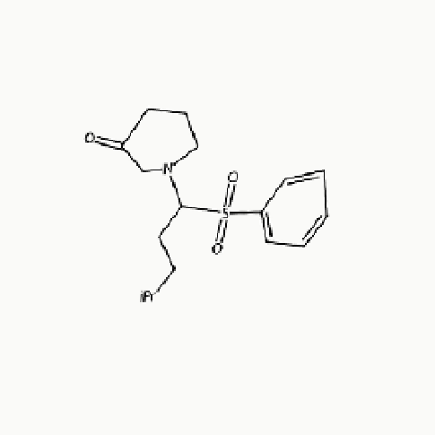 CC(C)CCC(N1CCCC(=O)C1)S(=O)(=O)c1ccccc1